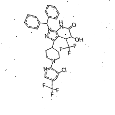 O=C1Nc2c(c(C3CCN(c4ncc(C(F)(F)F)cc4Cl)CC3)nn2C(c2ccccc2)c2ccccc2)C(C(F)(F)F)C1O